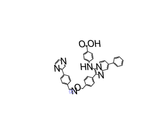 O=C(O)c1ccc(Nc2c(-c3ccc(CO/N=C\c4ccc(-c5cnccn5)cc4)cc3)nc3cc(-c4ccccc4)ccn23)cc1